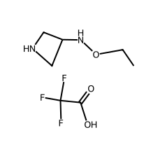 CCONC1CNC1.O=C(O)C(F)(F)F